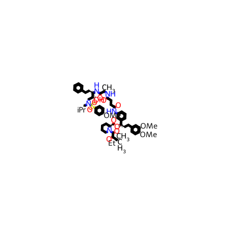 CCC(C)(C)C(=O)C(=O)N1CCCC[C@H]1C(=O)O[C@H](CCc1ccc(OC)c(OC)c1)c1cccc(NC(=O)CCC(=O)NC(C)C(=O)N[C@H](CCc2ccccc2)[C@@H](O)CN(CC(C)C)S(=O)(=O)c2ccc(OC)cc2)c1